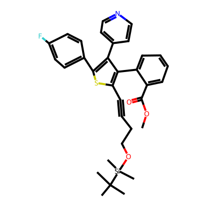 COC(=O)c1ccccc1-c1c(C#CCCO[Si](C)(C)C(C)(C)C)sc(-c2ccc(F)cc2)c1-c1ccncc1